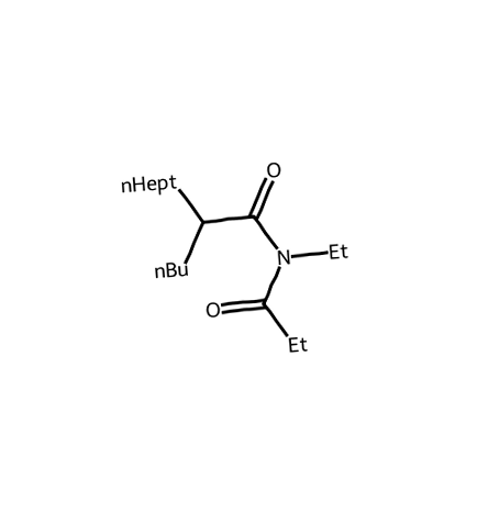 CCCCCCCC(CCCC)C(=O)N(CC)C(=O)CC